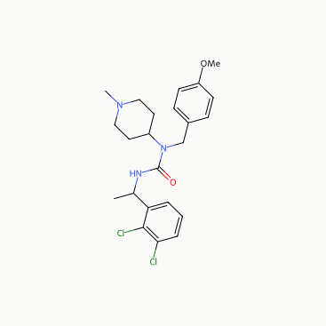 COc1ccc(CN(C(=O)NC(C)c2cccc(Cl)c2Cl)C2CCN(C)CC2)cc1